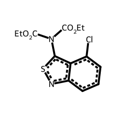 CCOC(=O)N(C(=O)OCC)c1snc2cccc(Cl)c12